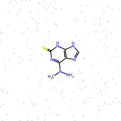 CN(N)c1nc(=S)[nH]c2[nH]cnc12